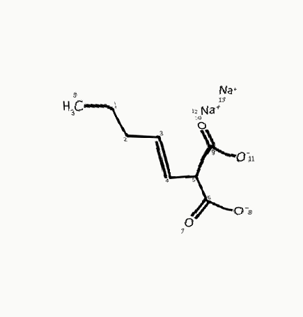 CCC/C=C/C(C(=O)[O-])C(=O)[O-].[Na+].[Na+]